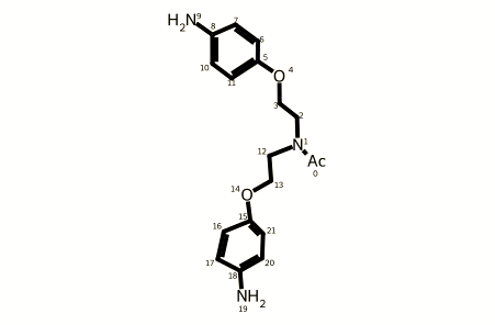 CC(=O)N(CCOc1ccc(N)cc1)CCOc1ccc(N)cc1